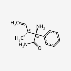 C=C[C@@H](C)[C@@](N)(C(N)=O)c1ccccc1